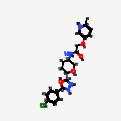 Cc1ccc(OCC(=O)N[C@@H]2CC[C@@H](c3nnc(-c4ccc(Cl)cc4)o3)OC2)cn1